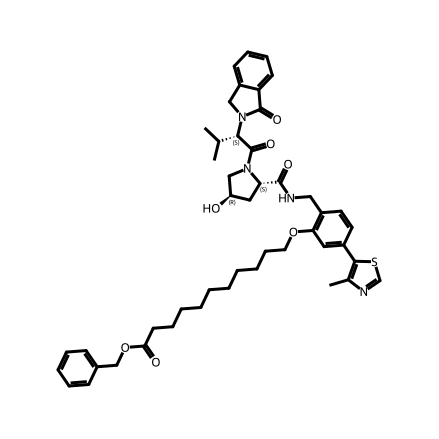 Cc1ncsc1-c1ccc(CNC(=O)[C@@H]2C[C@@H](O)CN2C(=O)[C@H](C(C)C)N2Cc3ccccc3C2=O)c(OCCCCCCCCCCC(=O)OCc2ccccc2)c1